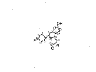 O=C(O)Oc1cn(-c2ccc(F)cc2)c2cc(Cl)c(F)cc2c1=O